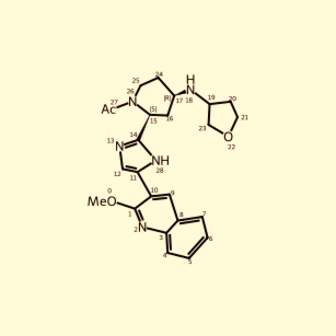 COc1nc2ccccc2cc1-c1cnc([C@@H]2C[C@H](NC3CCOC3)CCN2C(C)=O)[nH]1